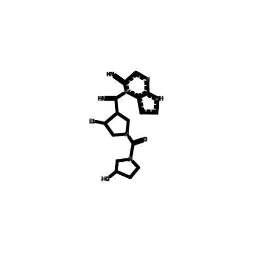 CCC1CN(C(=O)N2CCC(O)C2)CC1C(=N)n1c(=N)cnc2[nH]ccc21